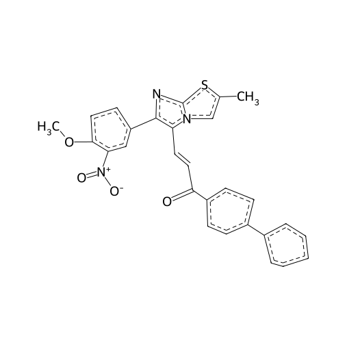 COc1ccc(-c2nc3sc(C)cn3c2C=CC(=O)c2ccc(-c3ccccc3)cc2)cc1[N+](=O)[O-]